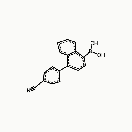 N#Cc1ccc(-c2ccc(B(O)O)c3ccccc23)cc1